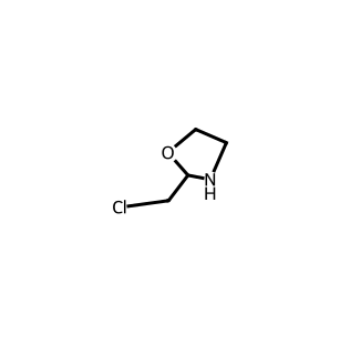 ClCC1NCCO1